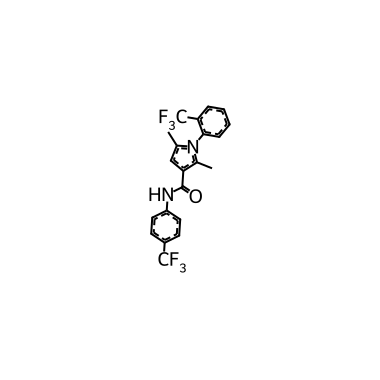 Cc1cc(C(=O)Nc2ccc(C(F)(F)F)cc2)c(C)n1-c1ccccc1C(F)(F)F